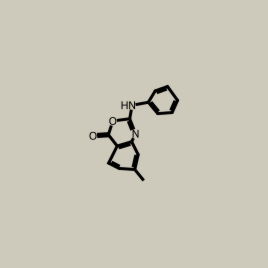 Cc1ccc2c(=O)oc(Nc3ccccc3)nc2c1